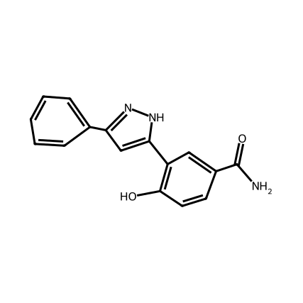 NC(=O)c1ccc(O)c(-c2cc(-c3ccccc3)n[nH]2)c1